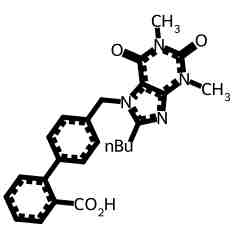 CCCCc1nc2c(c(=O)n(C)c(=O)n2C)n1Cc1ccc(-c2ccccc2C(=O)O)cc1